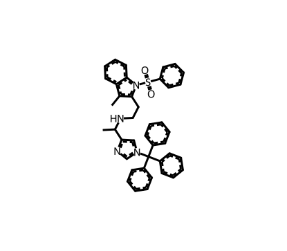 Cc1c(CCNC(C)c2cn(C(c3ccccc3)(c3ccccc3)c3ccccc3)cn2)n(S(=O)(=O)c2ccccc2)c2ccccc12